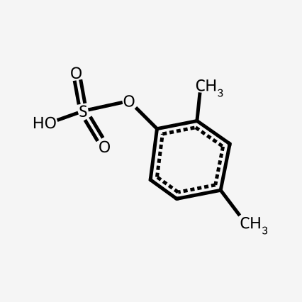 Cc1ccc(OS(=O)(=O)O)c(C)c1